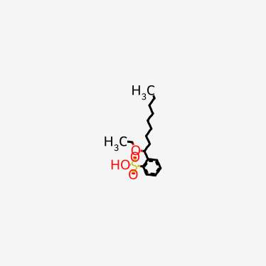 CCCCCCCCC(OCC)c1ccccc1S(=O)(=O)O